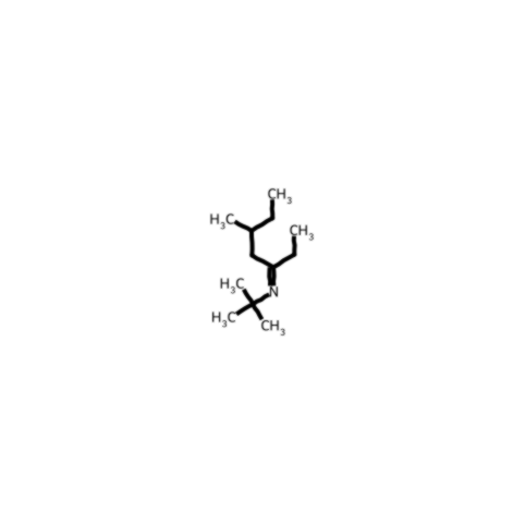 CC/C(CC(C)CC)=N/C(C)(C)C